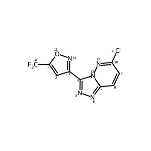 FC(F)(F)c1cc(-c2nnc3ccc(Cl)nn23)no1